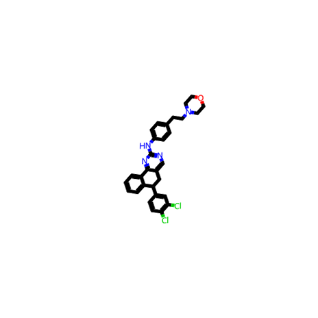 Clc1ccc(C2Cc3cnc(Nc4ccc(CCN5CCOCC5)cc4)nc3-c3ccccc32)cc1Cl